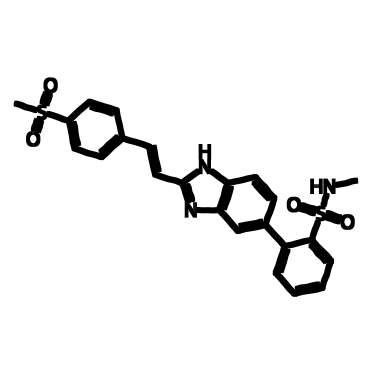 CNS(=O)(=O)c1ccccc1-c1ccc2[nH]c(C=Cc3ccc(S(C)(=O)=O)cc3)nc2c1